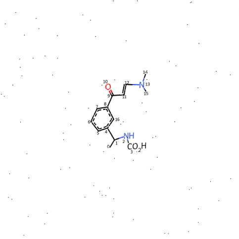 CC(NC(=O)O)c1cccc(C(=O)C=CN(C)C)c1